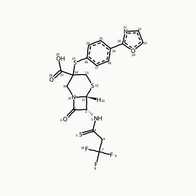 O=C1[C@@H](NC(=S)CC(F)(F)F)[C@H]2SCC(Sc3ccc(-c4ncco4)cc3)(C(=O)O)CN12